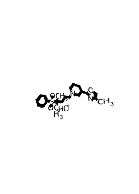 Cc1coc(C2CCCN(CCCC(C)(C)S(=O)(=O)c3ccccc3)C2)n1.Cl